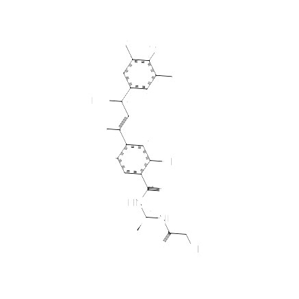 Cc1cc(C(/C=C(\F)c2ccc(C(=O)N[C@H](C)NC(=O)CC(F)(F)F)c(C(F)(F)F)c2)C(F)(F)F)cc(C)c1Cl